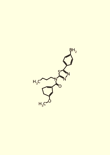 Bc1ccc(-c2nnc(N(CCCC)C(=O)C3=CCCC(OC)=C3)s2)cc1